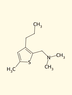 CCCc1cc(C)sc1CN(C)C